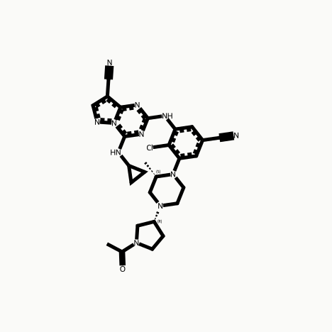 CC(=O)N1CC[C@@H](N2CCN(c3cc(C#N)cc(Nc4nc(NC5CC5)n5ncc(C#N)c5n4)c3Cl)[C@@H](C)C2)C1